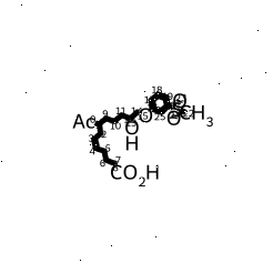 CC(=O)C(C/C=C\CCCC(=O)O)CCCC(O)COc1cccc(S(C)(=O)=O)c1